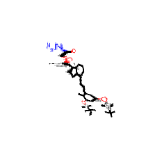 C=C1C(=CC=C2CCC[C@]3(C)C([C@H](C)OCC(N)=O)=CCC23)C[C@@H](O[Si](C)(C)C(C)(C)C)C[C@@H]1O[Si](C)(C)C(C)(C)C